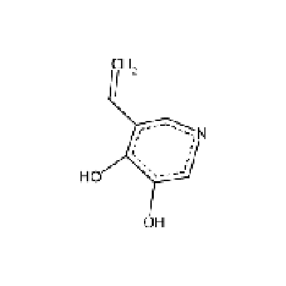 C=Cc1cncc(O)c1O